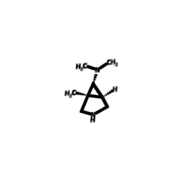 CN(C)[C@@H]1[C@H]2CNC[C@]21C